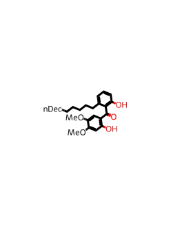 CCCCCCCCCCCCCCCc1cccc(O)c1C(=O)c1cc(OC)c(OC)cc1O